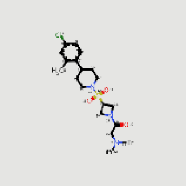 Cc1cc(Cl)ccc1C1CCN(S(=O)(=O)C2CN(C(=O)CN(C(C)C)C(C)C)C2)CC1